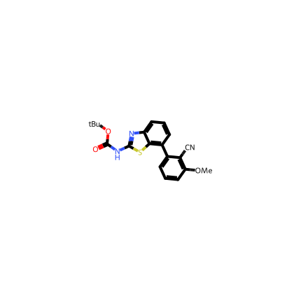 COc1cccc(-c2cccc3nc(NC(=O)OC(C)(C)C)sc23)c1C#N